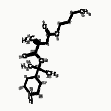 C=C(CC(=O)OCCCC)C(=O)OC(C)(C)C1CCNCC1